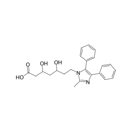 Cc1nc(-c2ccccc2)c(-c2ccccc2)n1CCC(O)CC(O)CC(=O)O